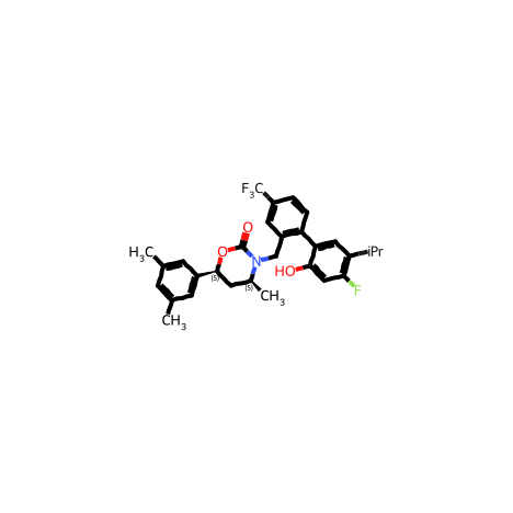 Cc1cc(C)cc([C@@H]2C[C@H](C)N(Cc3cc(C(F)(F)F)ccc3-c3cc(C(C)C)c(F)cc3O)C(=O)O2)c1